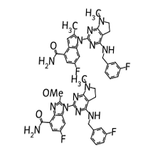 COc1nc2c(C(N)=O)cc(F)cc2n1-c1nc(NCc2cccc(F)c2)c2c(n1)N(C)CC2.Cc1cc2c(C(N)=O)cc(F)cc2n1-c1nc(NCc2cccc(F)c2)c2c(n1)N(C)CC2